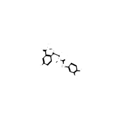 C[C@H](c1n[nH]c(=O)c2cc(F)ccc12)N(C)C(=O)Nc1ccc(F)c(Cl)c1